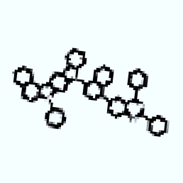 c1ccc(-c2nc(-c3ccccc3)c3cc(-c4ccc(-n5c6ccccc6c6cc7c8c9ccccc9ccc8n(-c8ccccc8)c7cc65)c5ccccc45)ccc3n2)cc1